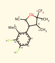 COc1c(C2C(C#N)OC(C)(C(F)(F)F)C2C)ccc(F)c1F